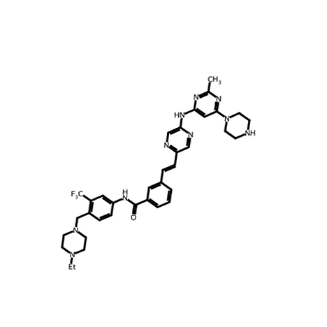 CCN1CCN(Cc2ccc(NC(=O)c3cccc(/C=C/c4cnc(Nc5cc(N6CCNCC6)nc(C)n5)cn4)c3)cc2C(F)(F)F)CC1